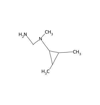 CC1C(C)C1N(C)CN